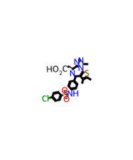 Cc1sc2c(c1C)C(c1ccc(NS(=O)(=O)c3ccc(Cl)cc3)cc1)=N[C@@H](CC(=O)O)c1nnc(C)n1-2